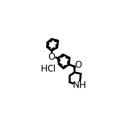 Cl.O=C(c1ccc(Oc2ccccc2)cc1)C1CCNCC1